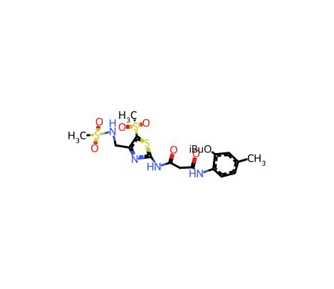 Cc1ccc(NC(=O)CC(=O)Nc2nc(CNS(C)(=O)=O)c(S(C)(=O)=O)s2)c(OCC(C)C)c1